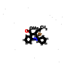 C=CCC1=C(C(=O)OC)c2ccccc2NC1(Br)c1ccccc1